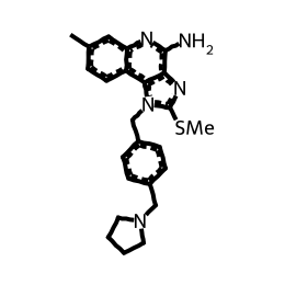 CSc1nc2c(N)nc3cc(C)ccc3c2n1Cc1ccc(CN2CCCC2)cc1